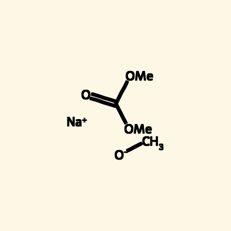 COC(=O)OC.C[O-].[Na+]